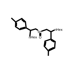 CCCCCCC([CH2][Sn](=[O])[CH2]C(CCCCCC)c1ccc(C)cc1)c1ccc(C)cc1